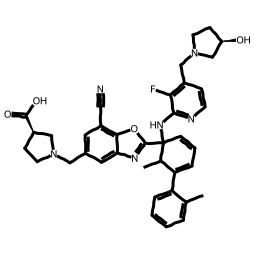 Cc1ccccc1C1=CC=CC(Nc2nccc(CN3CC[C@@H](O)C3)c2F)(c2nc3cc(CN4CC[C@@H](C(=O)O)C4)cc(C#N)c3o2)C1C